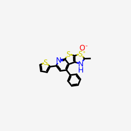 CC1Nc2c(sc3nc(-c4cccs4)cc(-c4ccccc4)c23)[S+]1[O-]